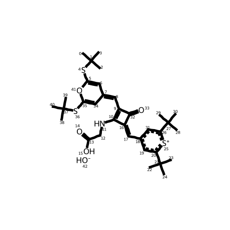 CC(C)(C)SC1=CC(=CC2=C(NCC(=O)O)/C(=C/c3cc(C(C)(C)C)[s+]c(C(C)(C)C)c3)C2=O)C=C(SC(C)(C)C)O1.[OH-]